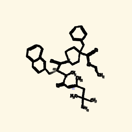 CCOC(=O)C1(Cc2ccccc2)CCN(C(=O)[C@@H](Cc2ccc3ccccc3c2)N(C)C(=O)/C=C(\C)CC(C)(C)N)CC1